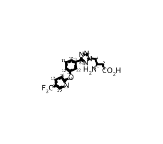 N[C@H](CC(=O)O)Cn1nnc(-c2cccc(Oc3ccc(C(F)(F)F)cn3)c2)n1